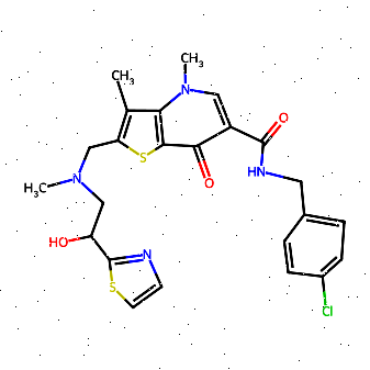 Cc1c(CN(C)CC(O)c2nccs2)sc2c(=O)c(C(=O)NCc3ccc(Cl)cc3)cn(C)c12